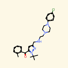 Cc1ccccc1C(=O)c1cc(CNCCN2CCN(c3ccc(Cl)cc3)CC2)nn1C(C)(C)C